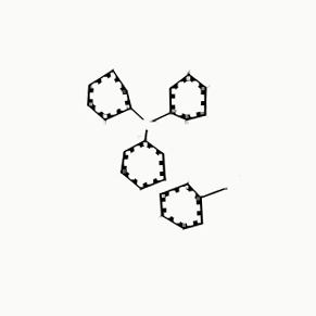 Ic1ccccc1.[Ru].c1ccc(P(c2ccccc2)c2ccccc2)cc1